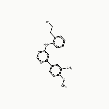 COc1ccc(-c2cc(Nc3ccccc3CCO)ncn2)cc1C